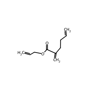 C=CCCC(=C)C(=O)OCC=C